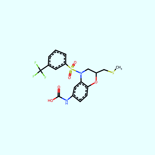 CSCC1CN(S(=O)(=O)c2cccc(C(F)(F)F)c2)c2cc(NC(=O)O)ccc2O1